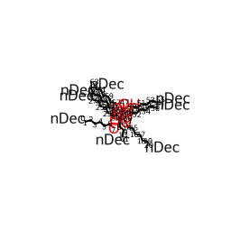 CCCCCCCCCCCCCCCCOC(CCCCCCCCCCCC)C(OCCCCCCCCCCCCCCCC)(OCCCCCCCCCCCCCCCC)C(OCCCCCCCCCCCCCCCC)(OCCCCCCCCCCCCCCCC)C(O)(OCCCCCCCCCCCCCCCC)OCCCCCCCCCCCCCCCC